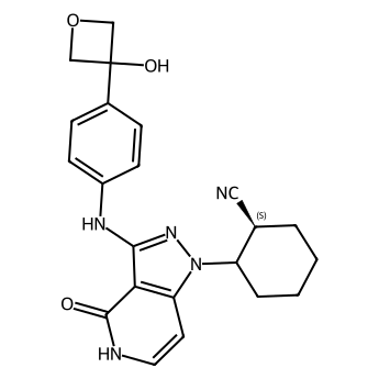 N#C[C@H]1CCCCC1n1nc(Nc2ccc(C3(O)COC3)cc2)c2c(=O)[nH]ccc21